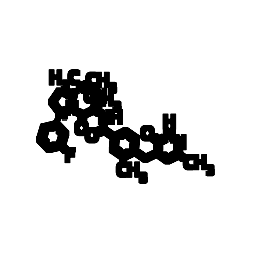 Cc1cc(Cc2ccc(C(=O)N[C@H](C)C(=O)N3[C@H](c4cccc(F)c4)CC[C@@H]3C(C)(C)C#N)cc2C)c(=O)[nH]n1